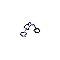 c1ccc(CN2CC3CCN(c4cccnc4)CC32)cc1